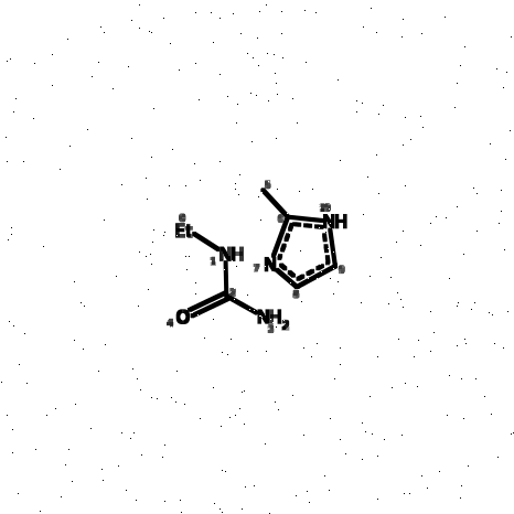 CCNC(N)=O.Cc1ncc[nH]1